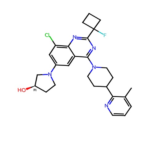 Cc1cccnc1C1CCN(c2nc(C3(F)CCC3)nc3c(Cl)cc(N4CC[C@@H](O)C4)cc23)CC1